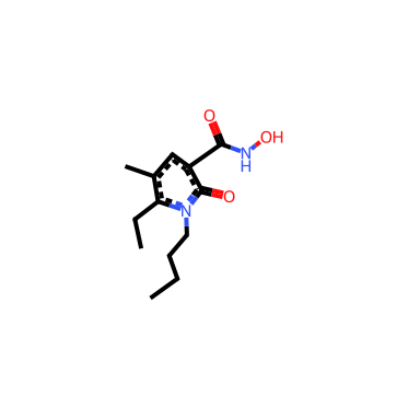 CCCCn1c(CC)c(C)cc(C(=O)NO)c1=O